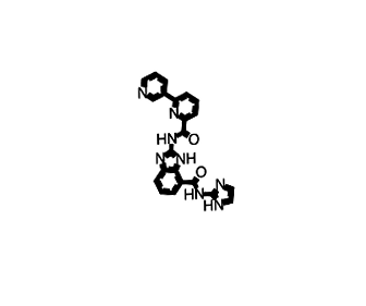 O=C(Nc1nc2cccc(C(=O)Nc3ncc[nH]3)c2[nH]1)c1cccc(-c2cccnc2)n1